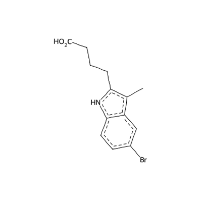 Cc1c(CCCC(=O)O)[nH]c2ccc(Br)cc12